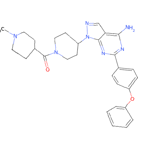 CN1CCC(C(=O)N2CCC(n3ncc4c(N)nc(-c5ccc(Oc6ccccc6)cc5)nc43)CC2)CC1